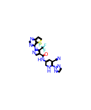 N#CC1=C(n2nccn2)NCC(NC(=O)c2cnn(-c3ncnc4ccsc34)c2C(F)(F)F)=C1